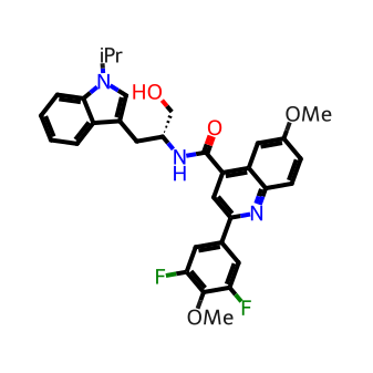 COc1ccc2nc(-c3cc(F)c(OC)c(F)c3)cc(C(=O)N[C@@H](CO)Cc3cn(C(C)C)c4ccccc34)c2c1